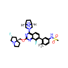 CS(=O)(=O)Nc1ccc(C(F)(F)F)c(-c2ccc3c(N4C[C@H]5CC[C@@H](C4)N5)nc(OC[C@@]45CCCN4C[C@H](F)C5)nc3c2F)c1